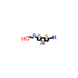 CN(CCO)c1cc2c(s1)-c1sc(C#N)cc1[Si]2(C)C